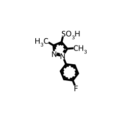 Cc1nn(-c2ccc(F)cc2)c(C)c1S(=O)(=O)O